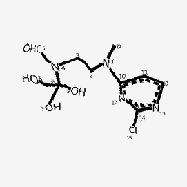 CN(CCN(C=O)C(O)(O)O)c1ccnc(Cl)n1